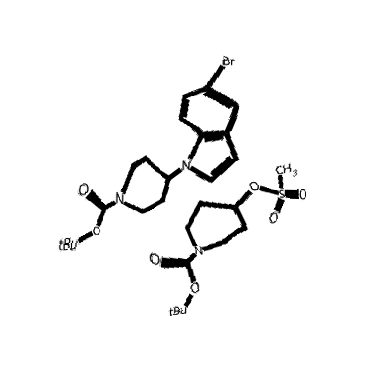 CC(C)(C)OC(=O)N1CCC(OS(C)(=O)=O)CC1.CC(C)(C)OC(=O)N1CCC(n2ccc3cc(Br)ccc32)CC1